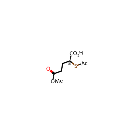 COC(=O)CC[C@H](SC(C)=O)C(=O)O